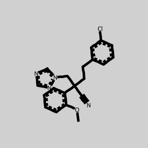 COc1ccccc1C(C#N)(CCc1cccc(Cl)c1)Cn1cncn1